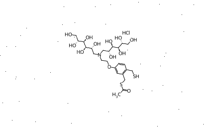 CC(=O)SCc1cc(OCCN(C[C@@H](O)[C@@H](O)[C@H](O)[C@H](O)CO)C[C@@H](O)[C@@H](O)[C@H](O)[C@H](O)CO)ccc1CS.Cl